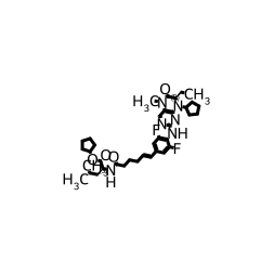 CC[C@@H]1C(=O)N(C)c2cnc(Nc3c(F)cc(C=CCCCC(=O)N[C@@H](CC(C)C)C(=O)OC4CCCC4)cc3F)nc2N1C1CCCC1